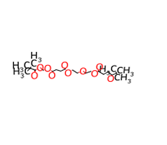 CC(C)(C)C(=O)CCC(=O)OCCOCCOC(=O)CCC(=O)OCOC(=O)C(C)(C)C